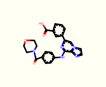 O=C(O)c1cccc(-c2cn3ccnc3c(Nc3ccc(C(=O)N4CCOCC4)cc3)n2)c1